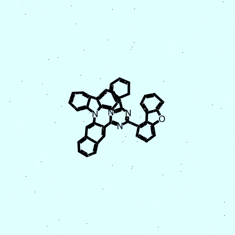 C1=CCC(c2nc(-c3cc4ccccc4cc3-n3c4ccccc4c4ccccc43)nc(-c3cccc4oc5ccccc5c34)n2)C=C1